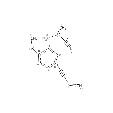 C=C(C)C#N.C=CC#N.C=Cc1ccccc1